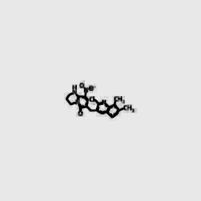 Cc1ccc2cc(Cc3cc([N+](=O)[O-])c4n(c3=O)CCCN4)c(Cl)nc2c1C